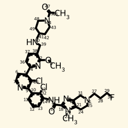 COc1nc(-c2ccnc(-c3cccc(NC(=O)c4nc5c(n4C)CCN(CCCF)C5)c3Cl)c2Cl)ccc1CNC1CCN(C(C)=O)CC1